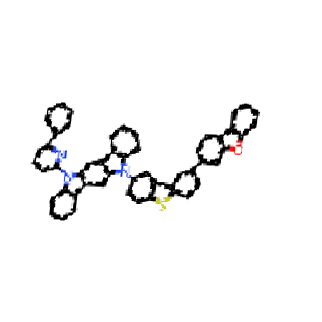 c1ccc(-c2cccc(-n3c4ccccc4c4cc5c(cc43)c3ccccc3n5-c3ccc4sc5ccc(-c6ccc7c(c6)oc6ccccc67)cc5c4c3)n2)cc1